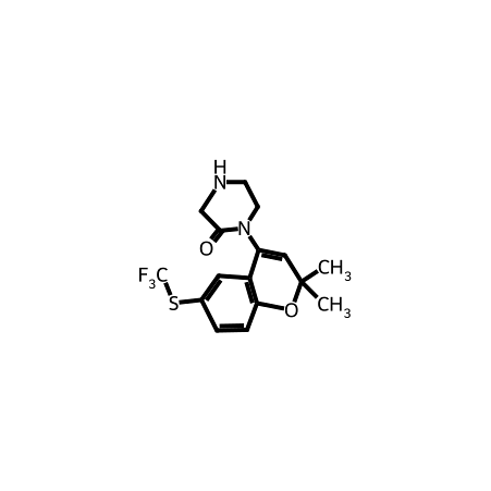 CC1(C)C=C(N2CCNCC2=O)c2cc(SC(F)(F)F)ccc2O1